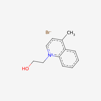 Cc1cc[n+](CCO)c2ccccc12.[Br-]